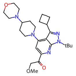 COCC(=O)c1cc(N2CCC(N3CCOCC3)CC2)c2c(C3CCC3)nn(C(C)(C)C)c2n1